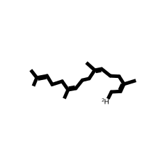 [2H]CC=C(C)CCC=C(C)CCC=C(C)CCC=C(C)C